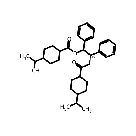 CC(C)C1CCC(C(=O)C[C@H](c2ccccc2)C(OC(=O)C2CCC(C(C)C)CC2)c2ccccc2)CC1